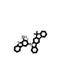 Bc1cc(-n2c3ccccc3c3cc4c(cc32)C(C)(C)c2ccccc2-4)cc2c1sc1ccccc12